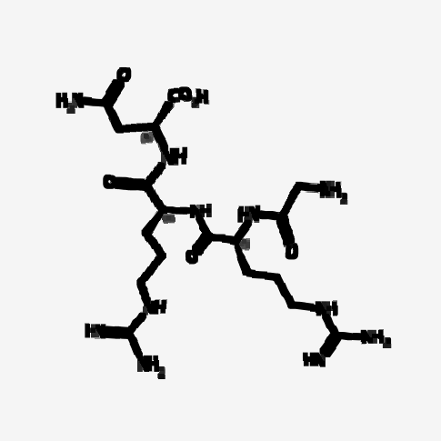 N=C(N)NCCC[C@H](NC(=O)CN)C(=O)N[C@@H](CCCNC(=N)N)C(=O)N[C@@H](CC(N)=O)C(=O)O